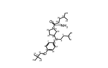 CC(C)CCN(c1ccc(OCC(C)(C)C)cc1)C1CCN(C(=O)[C@@H](N)CC(C)C)C1